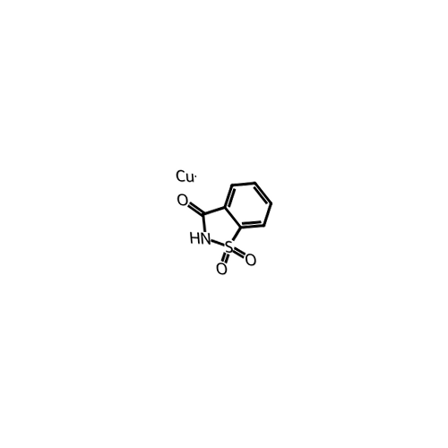 O=C1NS(=O)(=O)c2ccccc21.[Cu]